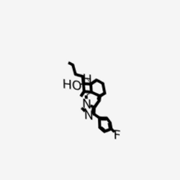 CCCC[C@]1(O)C(C)[C@]23Cn4cnc(-c5ccc(F)cc5)c4C=C2CCC[C@@H]31